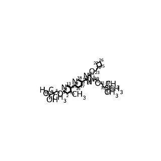 Cc1cc(OCC(C)(C)C(=O)O)ncc1-c1ccc(-c2nc(OCC3CCC3)n(COCC[Si](C)(C)C)n2)cn1